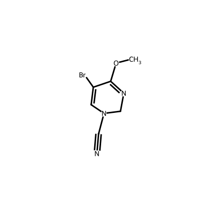 COC1=NCN(C#N)C=C1Br